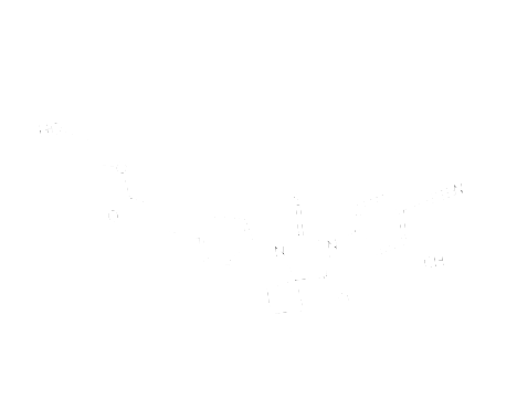 Cc1cc(N2C(=O)C3(CCC3)N(c3ccc(CCC(=O)OCCO)cc3)C2=S)ccc1C#N